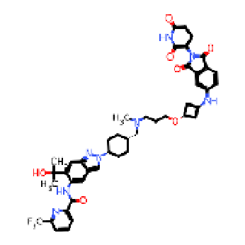 CN(CCCO[C@H]1C[C@H](Nc2ccc3c(c2)C(=O)N(C2CCC(=O)NC2=O)C3=O)C1)C[C@H]1CC[C@H](n2cc3cc(NC(=O)c4cccc(C(F)(F)F)n4)c(C(C)(C)O)cc3n2)CC1